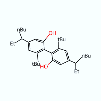 CCCCC(CC)c1cc(O)c(-c2c(O)cc(C(CC)CCCC)cc2C(C)(C)C)c(C(C)(C)C)c1